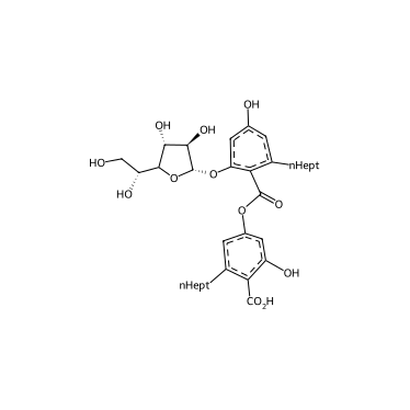 CCCCCCCc1cc(OC(=O)c2c(CCCCCCC)cc(O)cc2O[C@@H]2OC([C@H](O)CO)[C@H](O)[C@H]2O)cc(O)c1C(=O)O